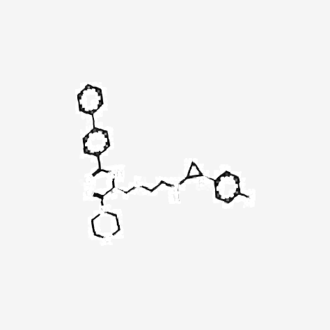 O=C(N[C@@H](CSCCNC1C[C@H]1c1ccc(F)cc1)C(=O)N1CCOCC1)c1ccc(-c2ccccc2)cc1